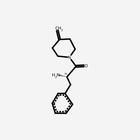 C=C1CCN(C(=O)[C@@H](N)Cc2ccccc2)CC1